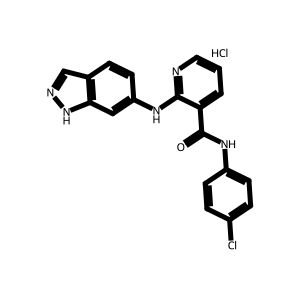 Cl.O=C(Nc1ccc(Cl)cc1)c1cccnc1Nc1ccc2cn[nH]c2c1